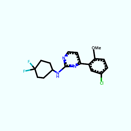 COc1ccc(Cl)cc1-c1ccnc(NC2CCC(F)(F)CC2)n1